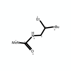 CCCCC(CC)CNC(=O)NC